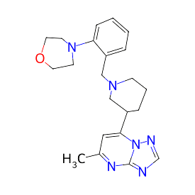 Cc1cc(C2CCCN(Cc3ccccc3N3CCOCC3)C2)n2ncnc2n1